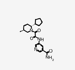 C[C@H]1CC[C@H](C2CCCC2)N(C(=O)C(=O)Nc2cncc(C(N)=O)c2)C1